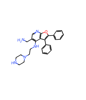 NCc1cnc2oc(-c3ccccc3)c(-c3ccccc3)c2c1NCCN1CCNCC1